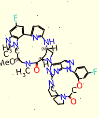 CO[C@H]1CN(C)C(=O)[C@@H]2C[C@@H](CN2c2nc3nc4c2cnn4-c2ccc(F)cc2OCC(=O)N2CCCC24CCN3C4)Nc2cccc(n2)-c2cc(F)cc3nc(C)n(c23)C1